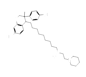 CC1(c2ccc(O)cc2)COc2cc(O)ccc2C1CCCCCCCCC[S+]([O-])CCN1CCCCC1